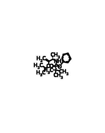 C=C(OC(C)C)[C@H](C)NP(=O)(Oc1ccccc1)C(C)(C)C